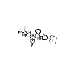 CC(C)c1ccc([C@@H](NC(=O)[C@@H]2C[C@@H](F)CN2C(=O)CN2N=C(C(F)F)NN2)c2ccccc2)nc1